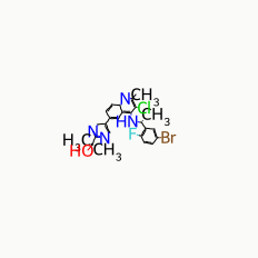 Cc1nc2ccc(-c3cnc(C(C)(C)O)nc3)cc2c(N[C@H](C)c2cc(Br)ccc2F)c1Cl